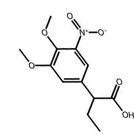 CCC(C(=O)O)c1cc(OC)c(OC)c([N+](=O)[O-])c1